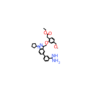 CCOC(=O)Cc1ccc(COC)cc1OCc1nn(C2CCCC2)c2ccc(-c3cccc(C(=N)N)c3)cc12